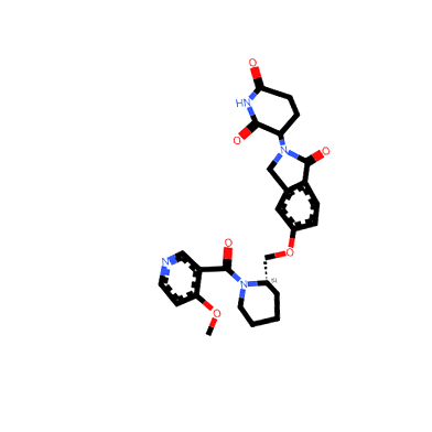 COc1ccncc1C(=O)N1CCCC[C@H]1COc1ccc2c(c1)CN(C1CCC(=O)NC1=O)C2=O